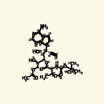 CC(=O)OC[C@@H](O)[C@@H](OC(=O)[C@@H](NC(=O)OC(C)(C)C)C(C)C)[C@H](O)[C@@H](C#N)c1ccc2c(N)ncnn12